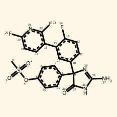 CS(=O)(=O)Oc1ccc(C2(c3ccc(F)c(-c4ccc(F)nc4F)c3)N=C(N)NC2=O)cc1